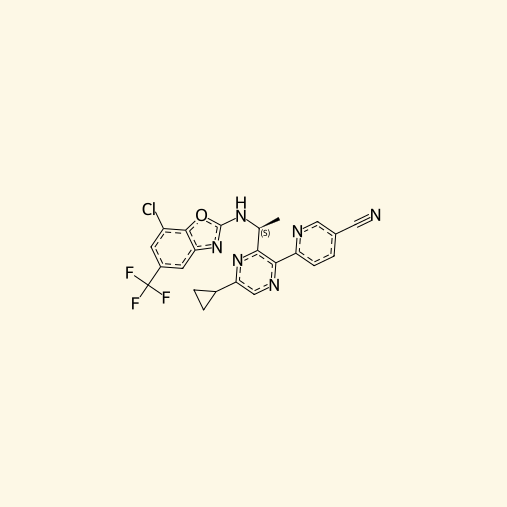 C[C@H](Nc1nc2cc(C(F)(F)F)cc(Cl)c2o1)c1nc(C2CC2)cnc1-c1ccc(C#N)cn1